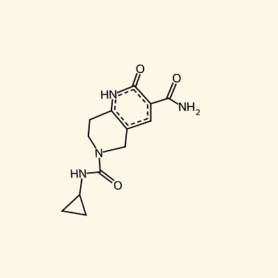 NC(=O)c1cc2c([nH]c1=O)CCN(C(=O)NC1CC1)C2